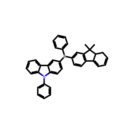 CC1(C)c2cc(B(c3ccccc3)c3ccc4c(c3)c3ccccc3n4-c3ccccc3)ccc2C2=CC=CCC21